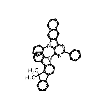 CC1(C)c2ccccc2-c2ccc3c(c21)c1ccccc1n3-c1nc(-c2ccccc2)nc2c3cc4ccccc4cc3n(-c3ccccc3)c12